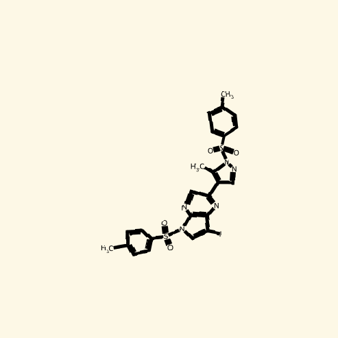 Cc1ccc(S(=O)(=O)n2ncc(-c3cnc4c(n3)c(I)cn4S(=O)(=O)c3ccc(C)cc3)c2C)cc1